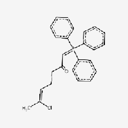 CC(Cl)=CCCC(=O)C=P(c1ccccc1)(c1ccccc1)c1ccccc1